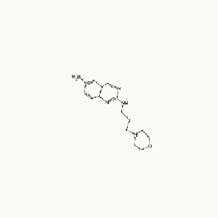 BC1=CC2C=NC(NCCCN3CCOCC3)=NC2C=C1